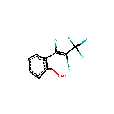 Oc1ccccc1C(F)=C(F)C(F)(F)F